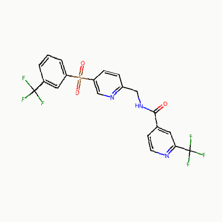 O=C(NCc1ccc(S(=O)(=O)c2cccc(C(F)(F)F)c2)cn1)c1ccnc(C(F)(F)F)c1